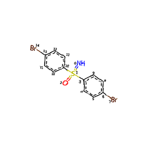 N=S(=O)(c1ccc(Br)cc1)c1ccc(Br)cc1